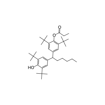 CCCCCC(c1cc(C(C)(C)C)c(O)c(C(C)(C)C)c1)c1cc(C(C)(C)C)c(OC(=O)CC)c(C(C)(C)C)c1